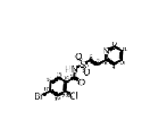 O=C(NS(=O)(=O)/C=C/c1ccccn1)c1ccc(Br)cc1Cl